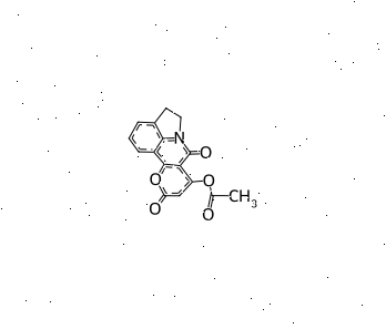 CC(=O)Oc1cc(=O)oc2c1c(=O)n1c3c(cccc23)CC1